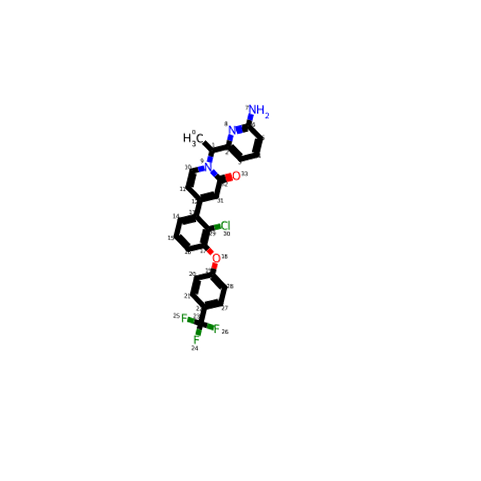 CC(c1cccc(N)n1)n1ccc(-c2cccc(Oc3ccc(C(F)(F)F)cc3)c2Cl)cc1=O